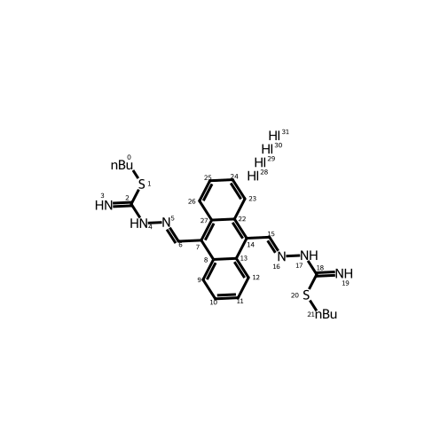 CCCCSC(=N)NN=Cc1c2ccccc2c(C=NNC(=N)SCCCC)c2ccccc12.I.I.I.I